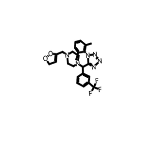 Cc1cccc(C)c1-n1nnnc1C(c1cccc(C(F)(F)F)c1)N1CCN(CC2=CCOO2)CC1